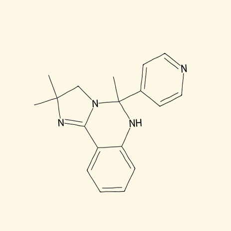 CC1(C)CN2C(=N1)c1ccccc1NC2(C)c1ccncc1